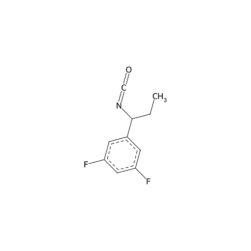 CCC(N=C=O)c1cc(F)cc(F)c1